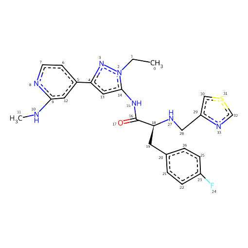 CCn1nc(-c2ccnc(NC)c2)cc1NC(=O)[C@H](Cc1ccc(F)cc1)NCc1cscn1